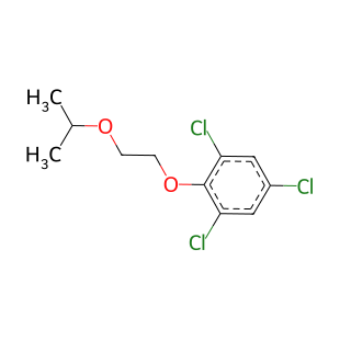 CC(C)OCCOc1c(Cl)cc(Cl)cc1Cl